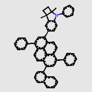 CC12CCC1(C)N(c1ccccc1)c1ccc(-c3cc(-c4ccccc4)c4ccc5c(-c6cccc7ccccc67)cc(-c6ccccc6)c6ccc3c4c65)cc12